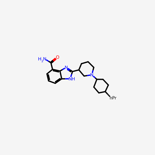 CCCC1CCC(N2CCCC(c3nc4c(C(N)=O)cccc4[nH]3)C2)CC1